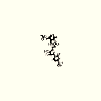 CC(=O)OCc1cnc(C)c2c1CNP(=O)(OC[C@H]1O[C@@H](n3ccc(NO)nc3=O)[C@@](F)(Br)C1O)O2